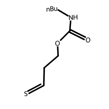 CCCCNC(=O)OCCC=S